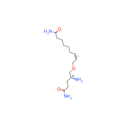 NC(=O)CCCCC/C=C\COC[C@@H](N)CCC(N)=O